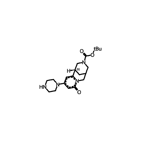 CC(C)(C)OC(=O)N1CC2C[C@@H](C1)c1cc(N3CCNCC3)cc(=O)n1C2